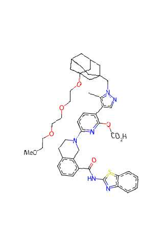 COCCOCCOCCOC12CC3CC(CC(Cn4ncc(-c5ccc(N6CCc7cccc(C(=O)Nc8nc9ccccc9s8)c7C6)nc5OC(=O)O)c4C)(C3)C1)C2